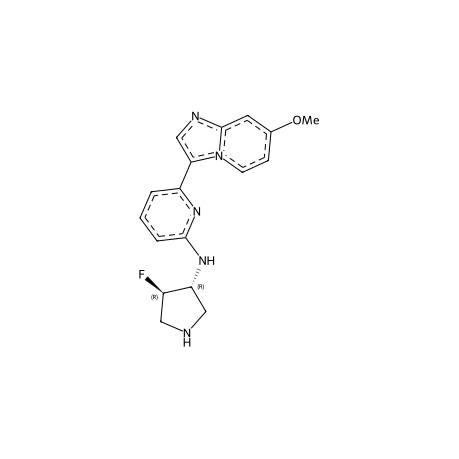 COc1ccn2c(-c3cccc(N[C@@H]4CNC[C@H]4F)n3)cnc2c1